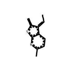 C=c1sc2nc(C)ccc2/c1=C/C